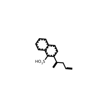 C=CCC(=C)c1ccc2ccccc2c1S(=O)(=O)O